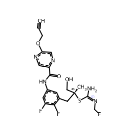 C#CCOc1cnc(C(=O)Nc2cc(F)c(F)c(C[C@](C)(CO)S/C(N)=N\CF)c2)cn1